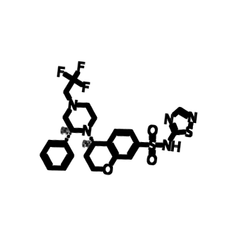 O=S(=O)(Nc1ncns1)c1ccc2c(c1)OCC[C@@H]2N1CCN(CC(F)(F)F)C[C@H]1c1ccccc1